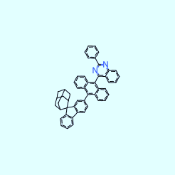 c1ccc(-c2nc(-c3c4ccccc4c(-c4ccc5c(c4)C4(c6ccccc6-5)C5CC6CC(C5)CC4C6)c4ccccc34)c3ccccc3n2)cc1